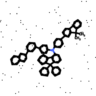 CC1(C)c2ccccc2-c2ccc(-c3ccc(N(c4ccc(-c5cccc(-c6ccc7ccccc7c6)c5)cc4)c4cccc5c4-c4ccccc4C5(c4ccccc4)c4ccccc4)cc3)cc21